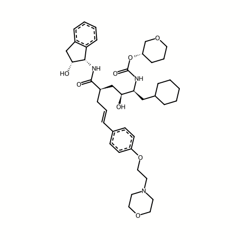 O=C(N[C@@H](CC1CCCCC1)[C@@H](O)C[C@@H](C/C=C/c1ccc(OCCN2CCOCC2)cc1)C(=O)N[C@H]1c2ccccc2C[C@H]1O)O[C@H]1CCCOC1